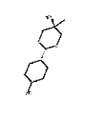 CCCC1CCC([C@H]2SC[C@](C)(CCC)CS2)CC1